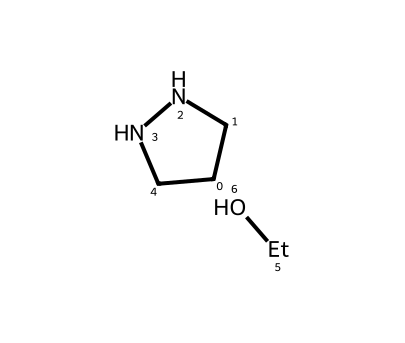 C1CNNC1.CCO